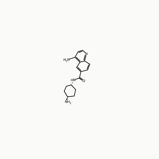 Nc1ccnc2ccc(C(=O)N[C@H]3CC[C@H](N)CC3)cc12